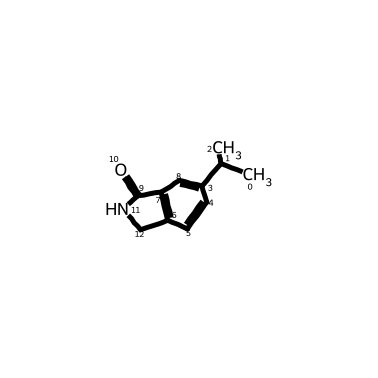 CC(C)c1ccc2c(c1)C(=O)NC2